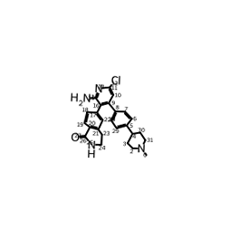 CN1CCC(c2ccc(-c3cc(Cl)nc(N)c3-c3ccc4c(c3)CCNC4=O)cc2)CC1